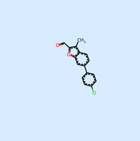 Cc1c(C=O)oc2cc(-c3ccc(Cl)cc3)ccc12